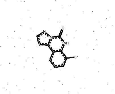 O=c1[nH]c2c(Br)cccc2c2ncnn12